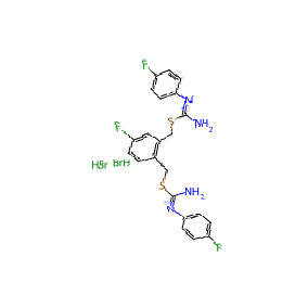 Br.Br.NC(=Nc1ccc(F)cc1)SCc1cc(F)ccc1CS/C(N)=N/c1ccc(F)cc1